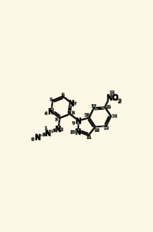 [N-]=[N+]=Nc1nccnc1-n1ncc2ccc([N+](=O)[O-])cc21